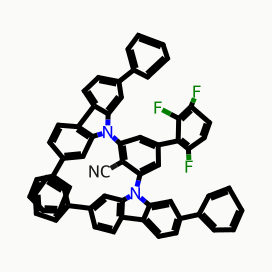 N#Cc1c(-n2c3cc(-c4ccccc4)ccc3c3ccc(-c4ccccc4)cc32)cc(-c2c(F)ccc(F)c2F)cc1-n1c2cc(-c3ccccc3)ccc2c2ccc(-c3ccccc3)cc21